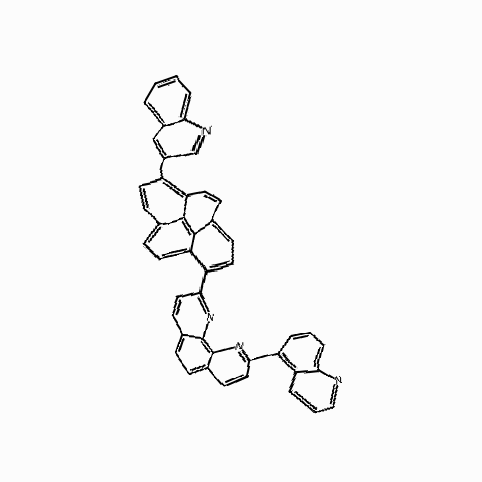 c1ccc2ncc(-c3ccc4ccc5c(-c6ccc7ccc8ccc(-c9cccc%10ncccc9%10)nc8c7n6)ccc6ccc3c4c65)cc2c1